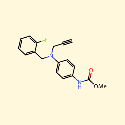 C#CCN(Cc1ccccc1F)c1ccc(NC(=O)OC)cc1